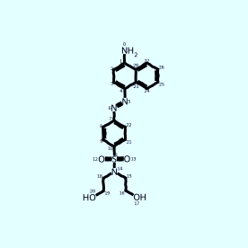 Nc1ccc(N=Nc2ccc(S(=O)(=O)N(CCO)CCO)cc2)c2ccccc12